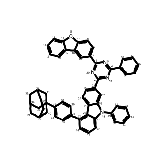 c1ccc(-c2nc(-c3ccc4oc5ccccc5c4c3)nc(-c3ccc4c5c(-c6ccc(C78CC9CC(CC(C9)C7)C8)cc6)cccc5n(-c5ccccc5)c4c3)n2)cc1